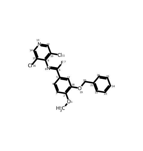 COc1ccc(/C(F)=N/c2c(Cl)cncc2Cl)cc1OCc1ccccc1